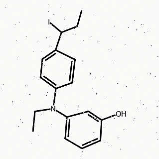 CCC(I)c1ccc(N(CC)c2cccc(O)c2)cc1